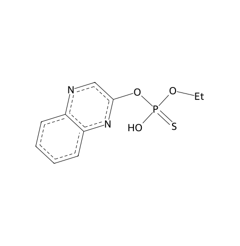 CCOP(O)(=S)Oc1cnc2ccccc2n1